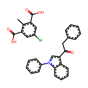 Cc1c(C(=O)O)cc(Br)cc1C(=O)O.O=C(Cc1ccccc1)c1cn(-c2ccccc2)c2ccccc12